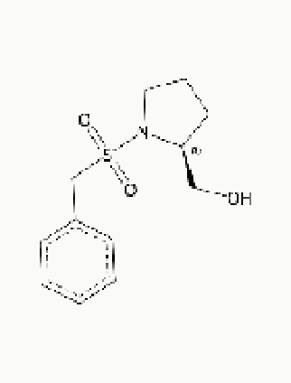 O=S(=O)(Cc1ccccc1)N1CCC[C@H]1CO